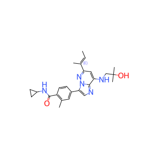 C/C=C(\C)c1cc(NCC(C)(C)O)c2ncc(-c3ccc(C(=O)NC4CC4)c(C)c3)n2n1